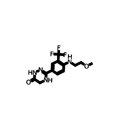 COCCNc1ccc(C2=NNC(=O)CN2)cc1C(F)(F)F